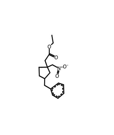 CCOC(=O)CC1(C[N+](=O)[O-])CCC(Cc2ccccc2)C1